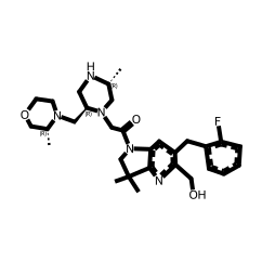 C[C@@H]1CN(CC(=O)N2CC(C)(C)c3nc(CO)c(Cc4ccccc4F)cc32)[C@@H](CN2CCOC[C@H]2C)CN1